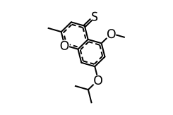 COc1cc(OC(C)C)cc2oc(C)cc(=S)c12